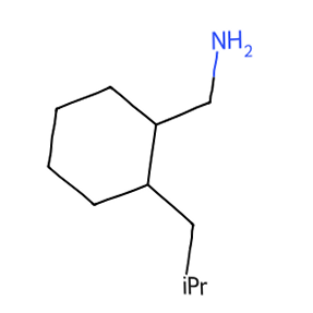 CC(C)CC1CCCCC1CN